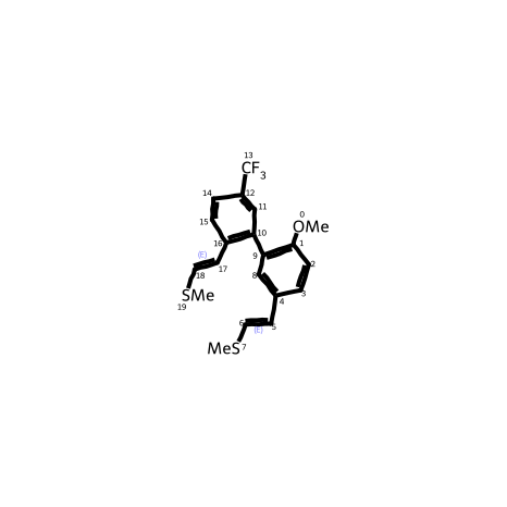 COc1ccc(/C=C/SC)cc1-c1cc(C(F)(F)F)ccc1/C=C/SC